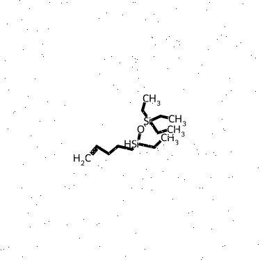 C=CCCC[SiH](CC)O[Si](CC)(CC)CC